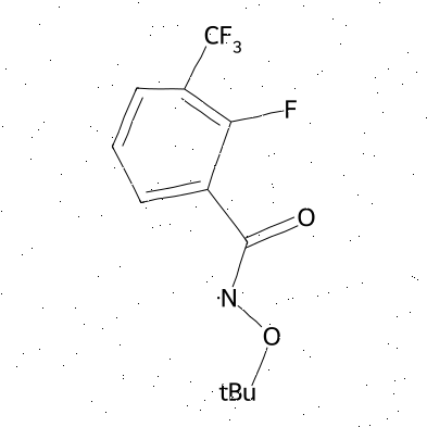 CC(C)(C)O[N]C(=O)c1cccc(C(F)(F)F)c1F